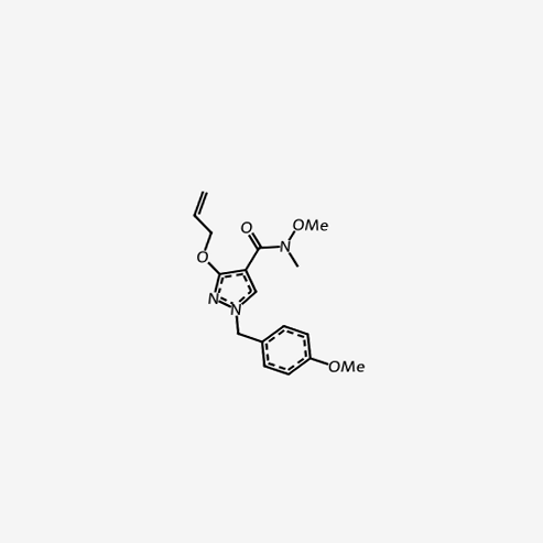 C=CCOc1nn(Cc2ccc(OC)cc2)cc1C(=O)N(C)OC